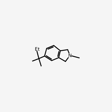 CCC(C)(C)c1ccc2c(c1)CN(C)C2